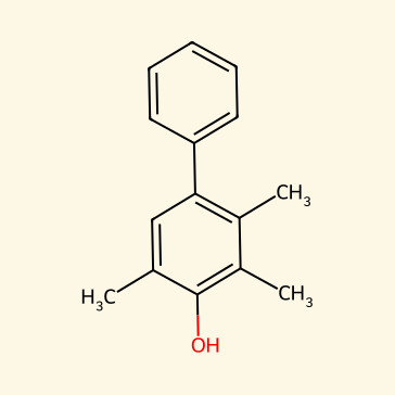 Cc1cc(-c2ccccc2)c(C)c(C)c1O